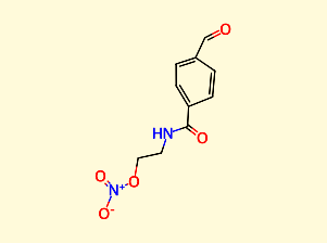 O=Cc1ccc(C(=O)NCCO[N+](=O)[O-])cc1